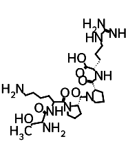 CC(O)C(N)C(=O)NC(CCCCN)C(=O)N1CCC[C@H]1C(=O)N1CCC[C@H]1C(=O)N[C@@H](CCCNC(=N)N)C(=O)O